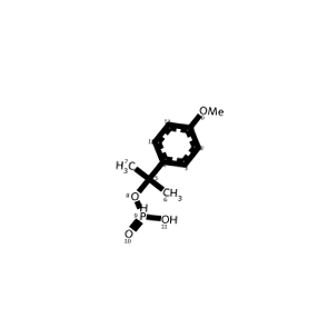 COc1ccc(C(C)(C)O[PH](=O)O)cc1